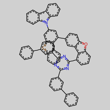 c1ccc(-c2cccc(-c3nc(-c4cccc(-c5ccccc5)c4)nc(-c4cccc5oc6ccc(-c7cc(-n8c9ccccc9c9ccccc98)cc8sc9ccccc9c78)cc6c45)n3)c2)cc1